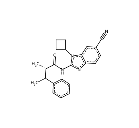 CC(c1ccccc1)[C@H](C)C(=O)Nc1nc2ccc(C#N)cc2n1C1CCC1